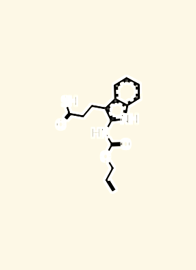 C=CCOC(=O)Nc1[nH]c2ccccc2c1CCC(=O)S